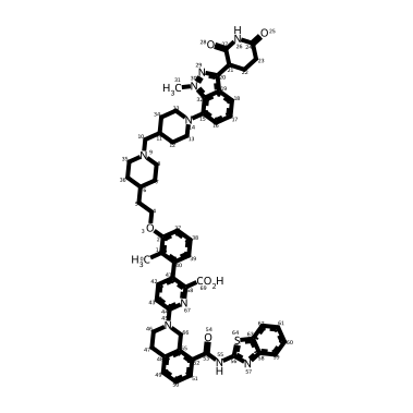 Cc1c(OCCC2CCN(CC3CCN(c4cccc5c(C6CCC(=O)NC6=O)nn(C)c45)CC3)CC2)cccc1-c1ccc(N2CCc3cccc(C(=O)Nc4nc5ccccc5s4)c3C2)nc1C(=O)O